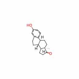 C[C@@]12CC[C@@H]3c4ccc(O)cc4CC[C@H]3[C@@H]1CCC2=O